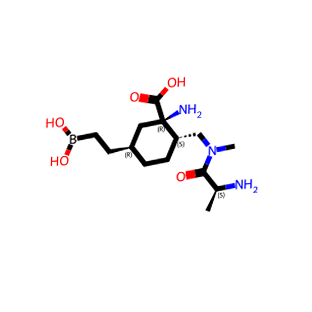 C[C@H](N)C(=O)N(C)C[C@@H]1CC[C@@H](CCB(O)O)C[C@]1(N)C(=O)O